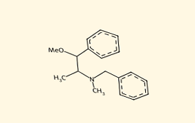 COC(c1ccccc1)C(C)N(C)Cc1ccccc1